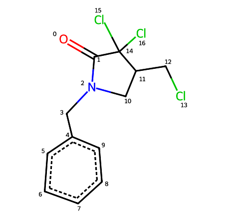 O=C1N(Cc2ccccc2)CC(CCl)C1(Cl)Cl